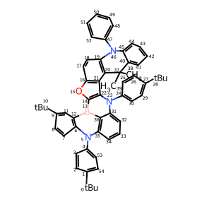 CC(C)(C)c1ccc(N2c3ccc(C(C)(C)C)cc3B3c4oc5ccc6c(c5c4N(c4ccc(C(C)(C)C)cc4)c4cccc2c43)C(C)(C)c2ccccc2N6c2ccccc2)cc1